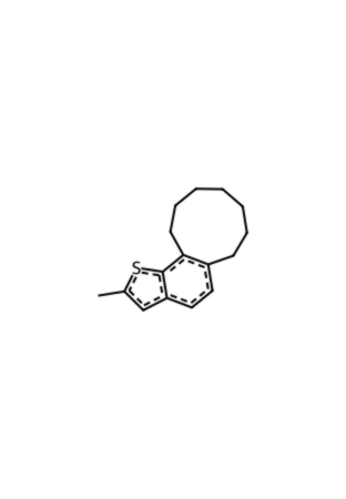 Cc1cc2ccc3c(c2s1)CCCCCCC3